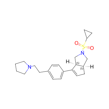 O=S(=O)(C1CC1)N1C[C@H]2CC=C(c3ccc(CCN4CCCC4)cc3)[C@H]2C1